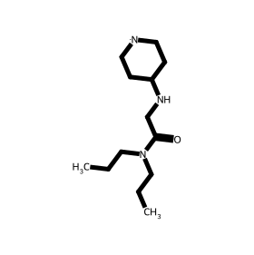 CCCN(CCC)C(=O)CNC1CC[N]CC1